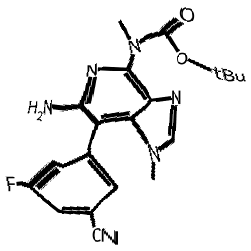 CN(C(=O)OC(C)(C)C)c1nc(N)c(-c2cc(F)cc(C#N)c2)c2c1ncn2C